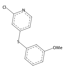 COc1cccc(Sc2ccnc(Cl)c2)c1